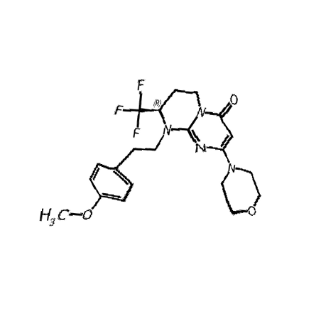 COc1ccc(CCN2c3nc(N4CCOCC4)cc(=O)n3CC[C@@H]2C(F)(F)F)cc1